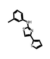 Cc1cccc(Nc2nc(-c3cccs3)cs2)c1